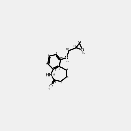 O=C1CCCc2c(cccc2OCC2CO2)N1